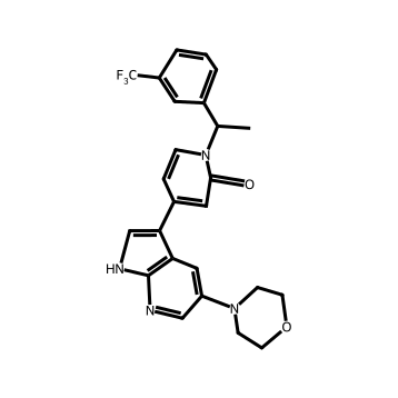 CC(c1cccc(C(F)(F)F)c1)n1ccc(-c2c[nH]c3ncc(N4CCOCC4)cc23)cc1=O